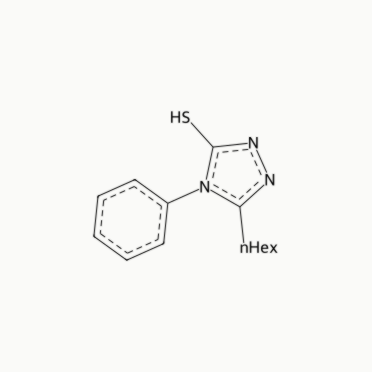 CCCCCCc1nnc(S)n1-c1ccccc1